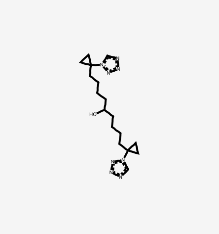 OC(CCCCC1(n2cnnn2)CC1)CCCCC1(n2cnnn2)CC1